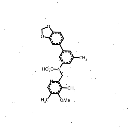 COc1c(C)cnc(CN(C(=O)O)c2cc(C)cc(-c3ccc4c(c3)OCO4)c2)c1C